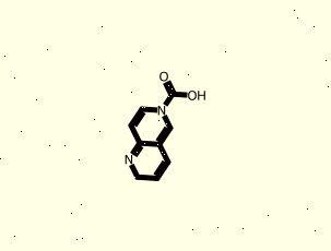 O=C(O)N1C=CC2=NCC=CC2=C1